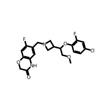 COCC(Oc1ccc(Cl)cc1F)C1CN(Cc2cc3c(cc2F)OCC(=O)N3)C1